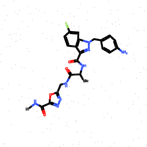 CCNC(=O)c1nnc(CNC(=O)C(NC(=O)c2nn(Cc3ccc(N)cc3)c3cc(F)ccc23)C(C)(C)C)o1